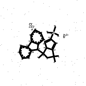 CC1(C)CC(C)(C2c3ccccc3-c3ccccc32)C2C=C([Si](C)(C)C)C=C21.[Cl-].[Cl-].[Zr+2]